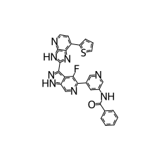 O=C(Nc1cncc(-c2ncc3[nH]nc(-c4nc5c(-c6cccs6)ccnc5[nH]4)c3c2F)c1)c1ccccc1